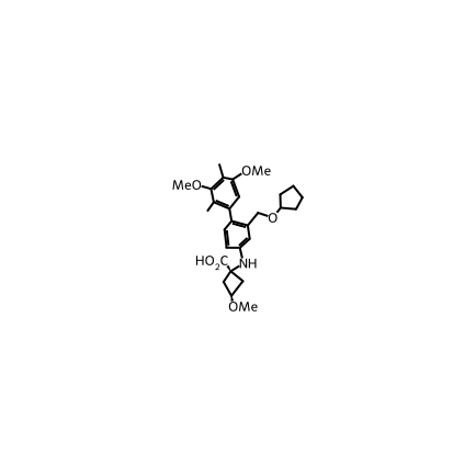 COc1cc(-c2ccc(N[C@]3(C(=O)O)C[C@@H](OC)C3)cc2COC2CCCC2)c(C)c(OC)c1C